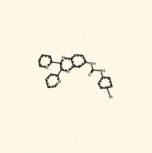 O=C(Nc1ccc(Br)cc1)Nc1ccc2nc(-c3ccccn3)c(-c3ccccn3)nc2c1